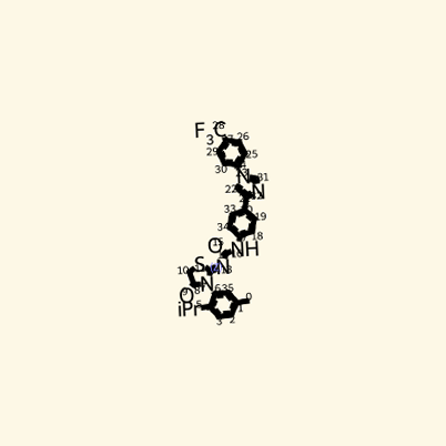 Cc1ccc(C(C)C)c(N2C(=O)CS/C2=N\C(=O)Nc2ccc(-c3cn(-c4ccc(C(F)(F)F)cc4)cn3)cc2)c1